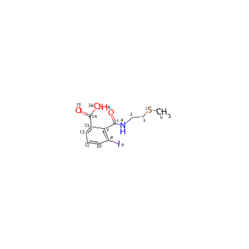 CSCCNC(=O)c1c(I)cccc1C(=O)O